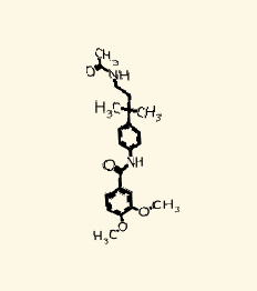 COc1ccc(C(=O)Nc2ccc(C(C)(C)CCNC(C)=O)cc2)cc1OC